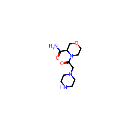 NC(=O)C1COCCN1C(=O)CN1CCNCC1